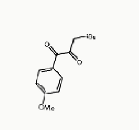 CCC(C)CC(=O)C(=O)c1ccc(OC)cc1